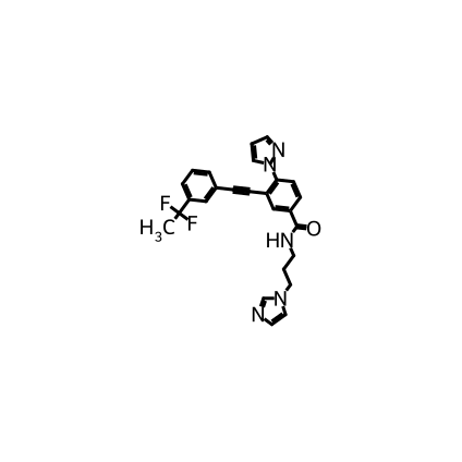 CC(F)(F)c1cccc(C#Cc2cc(C(=O)NCCCn3ccnc3)ccc2-n2cccn2)c1